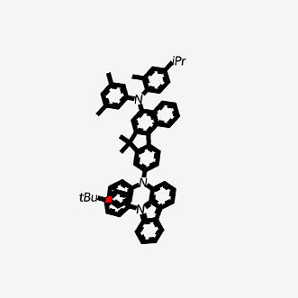 Cc1cc(C)cc(N(c2ccc(C(C)C)cc2C)c2cc3c(c4ccccc24)-c2ccc(N(c4ccccc4)c4cccc5c6ccccc6n(-c6ccc(C(C)(C)C)cc6)c45)cc2C3(C)C)c1